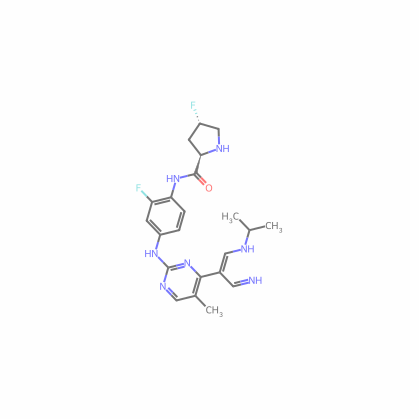 Cc1cnc(Nc2ccc(NC(=O)[C@H]3C[C@H](F)CN3)c(F)c2)nc1/C(C=N)=C/NC(C)C